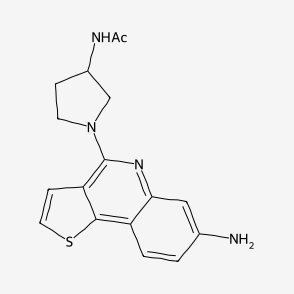 CC(=O)NC1CCN(c2nc3cc(N)ccc3c3sccc23)C1